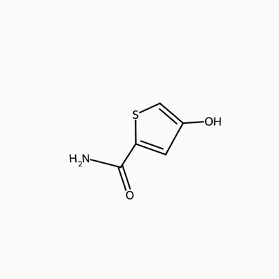 NC(=O)c1cc(O)cs1